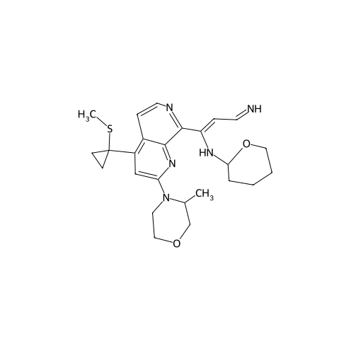 CSC1(c2cc(N3CCOCC3C)nc3c(/C(=C/C=N)NC4CCCCO4)nccc23)CC1